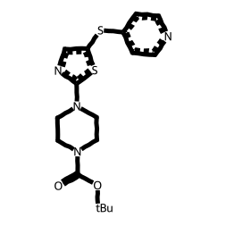 CC(C)(C)OC(=O)N1CCN(c2ncc(Sc3ccncc3)s2)CC1